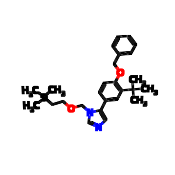 CC(C)(C)c1cc(-c2cncn2COCC[Si](C)(C)C)ccc1OCc1ccccc1